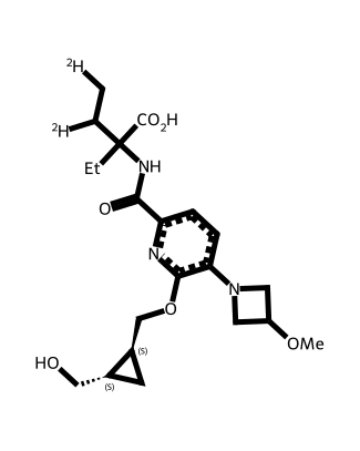 [2H]CC([2H])C(CC)(NC(=O)c1ccc(N2CC(OC)C2)c(OC[C@H]2C[C@@H]2CO)n1)C(=O)O